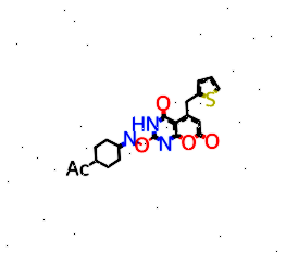 CC(=O)C1CCC(=NOc2nc3oc(=O)cc(Cc4cccs4)c3c(=O)[nH]2)CC1